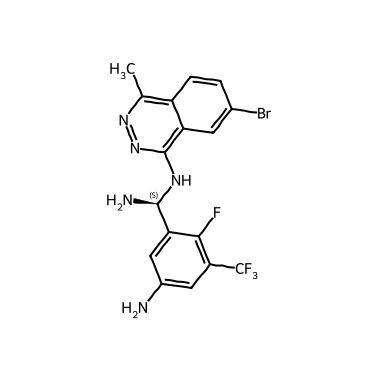 Cc1nnc(N[C@H](N)c2cc(N)cc(C(F)(F)F)c2F)c2cc(Br)ccc12